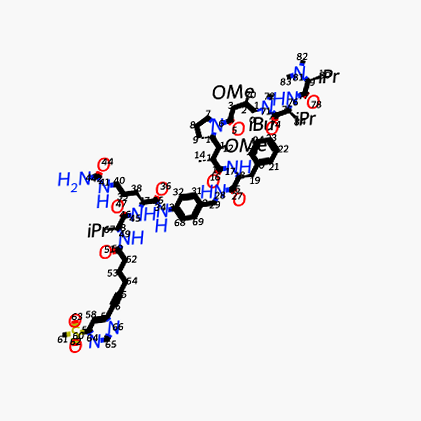 CC[C@H](C)[C@@H]([C@@H](CC(=O)N1CCC[C@H]1[C@H](OC)[C@@H](C)C(=O)N[C@@H](Cc1ccccc1)C(=O)NCc1ccc(NC(=O)[C@H](CCCNC(N)=O)NC(=O)[C@@H](NC(=O)CCCC#Cc2cc(S(C)(=O)=O)ncn2)C(C)C)cc1)OC)N(C)C(=O)[C@@H](NC(=O)[C@H](C(C)C)N(C)C)C(C)C